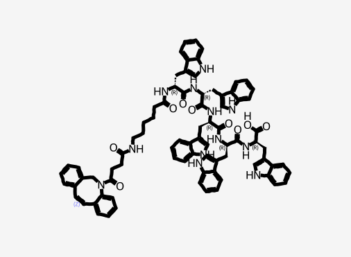 O=C(CCC(=O)N1Cc2ccccc2/C=C\c2ccccc21)NCCCCCC(=O)N[C@H](Cc1c[nH]c2ccccc12)C(=O)N[C@H](Cc1c[nH]c2ccccc12)C(=O)N[C@H](Cc1c[nH]c2ccccc12)C(=O)N[C@H](Cc1c[nH]c2ccccc12)C(=O)N[C@H](Cc1c[nH]c2ccccc12)C(=O)O